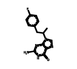 CC(Cc1ccc(F)cc1)n1cnc2c(=O)[nH]c(N)nc21